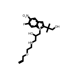 C=CCOCCNCC(O)Cn1c(C(C)(C)CO)cc2cc([N+](=O)[O-])c(F)cc21